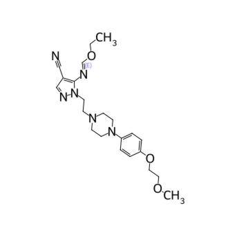 CCO/C=N/c1c(C#N)cnn1CCN1CCN(c2ccc(OCCOC)cc2)CC1